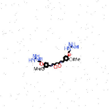 COc1cc(/C=C/C(=O)CC(=O)/C=C/c2ccc(OCCNC(=N)N)c(OC)c2)ccc1OCCNC(=N)N